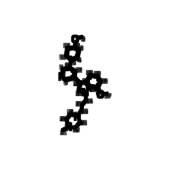 COc1ccc(-c2cncc(-c3cn(CCCN4CCN(C)CC4)c4c(OC)cccc34)c2)cc1